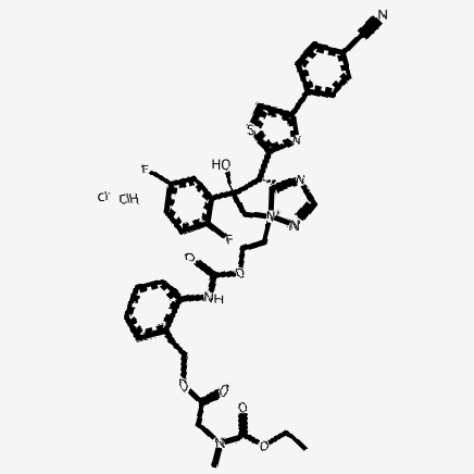 CCOC(=O)N(C)CC(=O)OCc1ccccc1NC(=O)OCC[N+]1(C[C@](O)(c2cc(F)ccc2F)[C@@H](C)c2nc(-c3ccc(C#N)cc3)cs2)C=NC=N1.Cl.[Cl-]